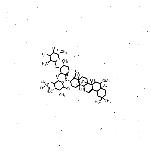 CCC1O[C@@H](OC2[C@H](O[C@H]3CCC4(C)C5CC=C6C7CC(C)(C)CC[C@]7(C(C)=O)C(OC)C[C@@]6(C)[C@@]5(C)CC[C@H]4[C@@]3(C)C=O)OC[C@@H](C)[C@@H]2O[C@@H]2O[C@@H](C)[C@H](C)C(C)C2C)C(O[Si](CC)(CC)CC)[C@@H](C)[C@H]1C